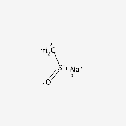 [CH2][S-]=O.[Na+]